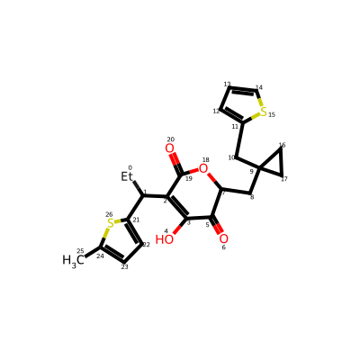 CCC(C1=C(O)C(=O)C(CC2(Cc3cccs3)CC2)OC1=O)c1ccc(C)s1